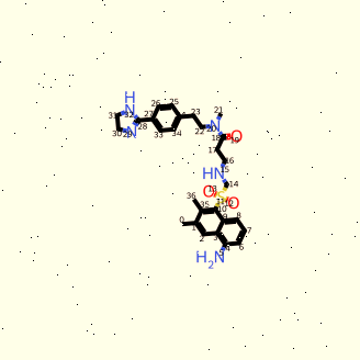 Cc1cc2c(N)cccc2c(S(=O)(=O)CNCCC(=O)N(C)CCc2ccc(C3=NCCN3)cc2)c1C